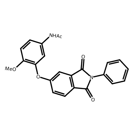 COc1ccc(NC(C)=O)cc1Oc1ccc2c(c1)C(=O)N(c1ccccc1)C2=O